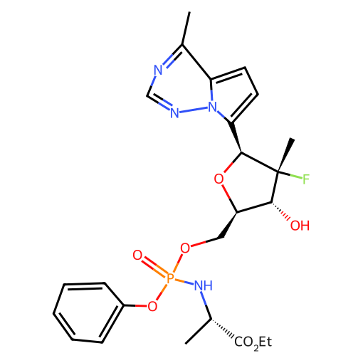 CCOC(=O)[C@H](C)NP(=O)(OC[C@H]1O[C@@H](c2ccc3c(C)ncnn23)[C@](C)(F)[C@@H]1O)Oc1ccccc1